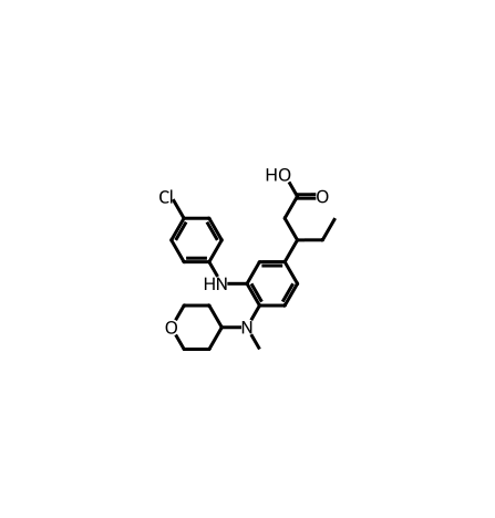 CCC(CC(=O)O)c1ccc(N(C)C2CCOCC2)c(Nc2ccc(Cl)cc2)c1